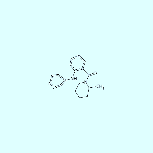 CC1CCCCN1C(=O)c1ccccc1Nc1ccncc1